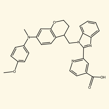 COc1ccc(N(C)c2ccc3c(c2)OCCC3Cn2c(-c3cc(C(=O)O)ccn3)nc3ccccc32)cc1